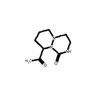 CC(=O)C1CCCN2CCNC(=O)N12